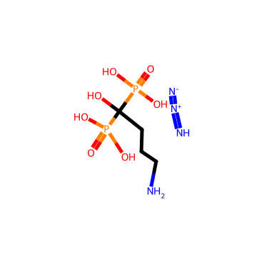 NCCCC(O)(P(=O)(O)O)P(=O)(O)O.[N-]=[N+]=N